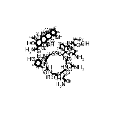 CC[C@H](C)[C@@H]1NC(=O)[C@H](Cc2ccc(O)cc2)NC(=O)[C@@H](N)CSSC[C@@H](C(=O)N2CCC[C@H]2C(=O)N[C@@H](CC(C)C)C(=O)NCC(N)=O)NC(=O)[C@H](CC(N)=O)NC(=O)[C@H](CCC(N)=O)NC1=O.CN(C)[C@@H]1C(O)=C(C(N)=O)C(=O)[C@@]2(O)C(O)=C3C(=O)c4c(O)cccc4[C@@](C)(O)[C@H]3C[C@@H]12.Cl